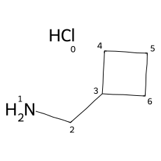 Cl.NCC1CCC1